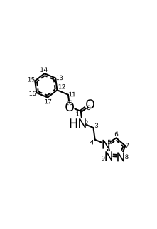 O=C(NCCn1ccnn1)OCc1ccccc1